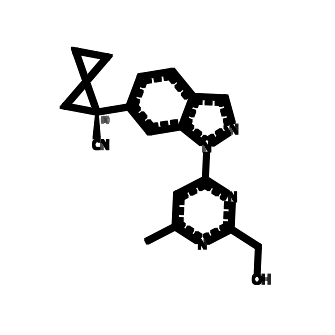 Cc1cc(-n2ncc3ccc([C@]4(C#N)CC45CC5)cc32)nc(CO)n1